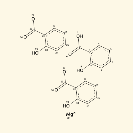 O=C(O)c1ccccc1O.O=C([O-])c1ccccc1O.O=C([O-])c1ccccc1O.[Mg+2]